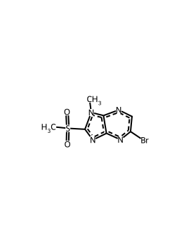 Cn1c(S(C)(=O)=O)nc2nc(Br)cnc21